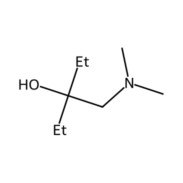 CCC(O)(CC)CN(C)C